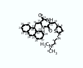 CN(C)CCSc1ccc(C=c2[nH]c(=O)c(=Cc3c4ccccc4cc4ccccc34)[nH]c2=O)s1